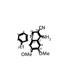 CCc1ccccc1.COc1cc2ncc(C#N)c(N)c2cc1OC